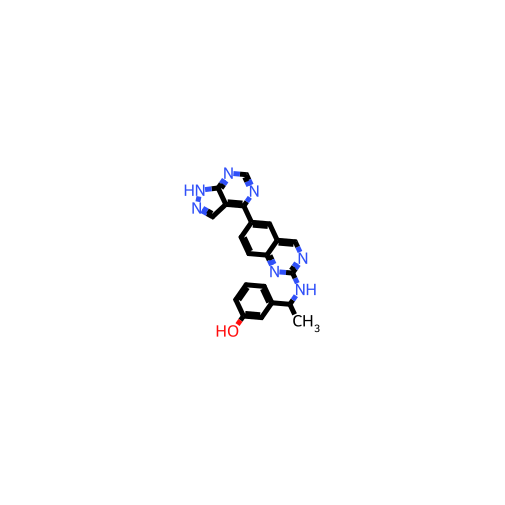 CC(Nc1ncc2cc(-c3ncnc4[nH]ncc34)ccc2n1)c1cccc(O)c1